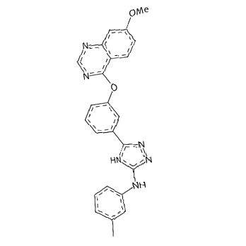 COc1ccc2c(Oc3cccc(-c4nnc(Nc5cccc(C)c5)[nH]4)c3)ncnc2c1